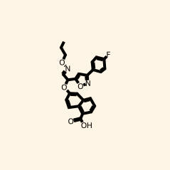 CCCO/N=C/C(Oc1ccc2c(C(=O)O)cccc2c1)c1cc(-c2ccc(F)cc2)no1